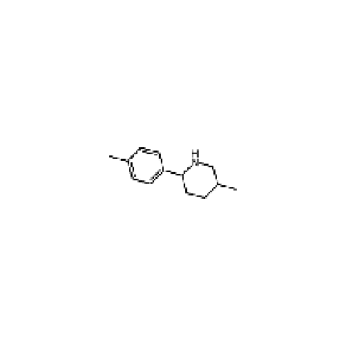 Cc1ccc(C2CCC(C)CN2)cc1